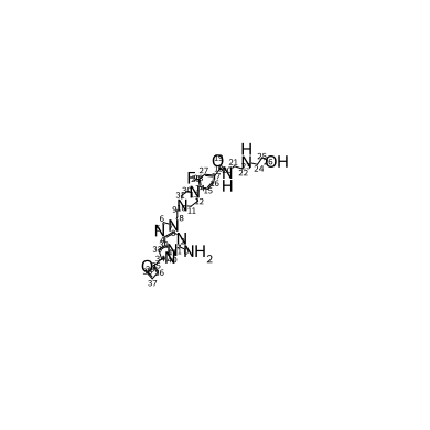 Nc1nc2c(ncn2CCN2CCN(c3ccc(C(=O)NCCNCCO)cc3F)CC2)c2cc(-c3ccco3)nn12